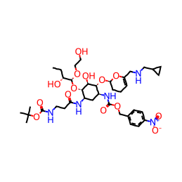 CC[C@@H](O)[C@H](OCCO)O[C@@H]1[C@@H](O)[C@H](O[C@@H]2CCC=C(CNCC3CC3)O2)[C@@H](NC(=O)OCc2ccc([N+](=O)[O-])cc2)C[C@H]1NC(=O)CCNC(=O)OC(C)(C)C